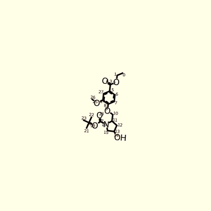 CCOC(=O)c1ccc(OCC2CC(O)CN2C(=O)OC(C)(C)C)c(OC)c1